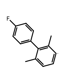 Cc1[c]ccc(C)c1-c1ccc(F)cc1